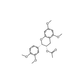 COc1cc(OC)c2c(c1)O[C@@H](c1ccc(OC)c(OC)c1)[C@@H](OC(C)=O)C2